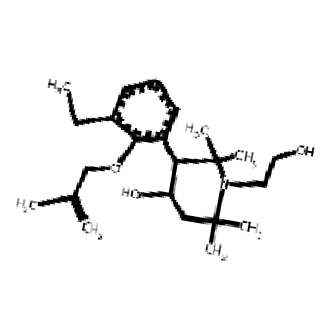 C=C(C)COc1c(CC)cccc1C1C(O)CC(C)(C)N(CCO)C1(C)C